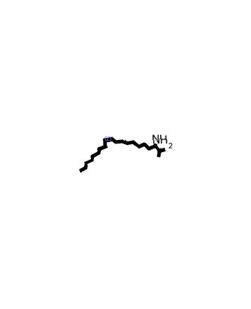 CCCCCCCC/C=C\CCCCCCCC(N)C(C)C